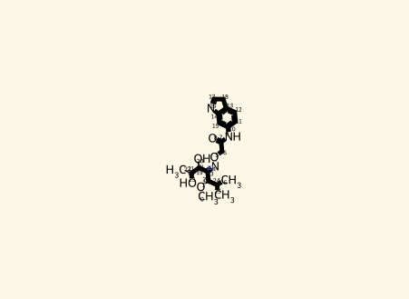 CO[C@H](/C(=N/OCC(=O)Nc1ccc2c(c1)N=CC2)[C@@H](O)[C@@H](C)O)C(C)C